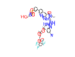 CCCN(CCCN/C(=N/c1cccc(C#N)c1)NCCC(C)(C)OCC(C)(C)OCCC(=O)Oc1c(F)c(F)cc(F)c1F)C(=O)C1=Cc2ccc(-c3cccc(S(=O)(=O)N4CC(CO)C4)c3)cc2N=C(N)C1